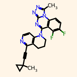 Cc1nnc2nc(N3CCCc4c3ccnc4C#CC3(C)CC3)c3c(F)c(F)ccc3n12